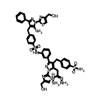 N/N=C(/Cc1c(Cc2ccc(S(N)(=O)=O)cc2)c(-c2cccc(NS(=O)(=O)c3ccc(Cc4c(-c5ccccc5)nn(-c5nc(CO)cs5)c4N)cc3)c2)nn1-c1nc(CO)cs1)NN